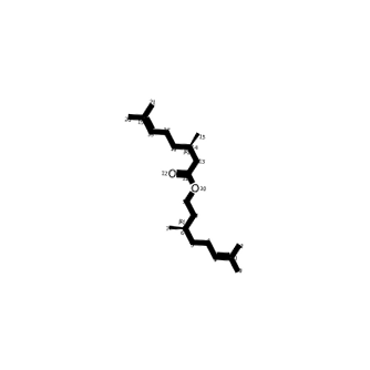 CC(C)=CCC[C@@H](C)CCOC(=O)C[C@H](C)CCC=C(C)C